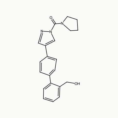 O=C(N1CCCC1)n1cc(-c2ccc(-c3ccccc3CO)cc2)cn1